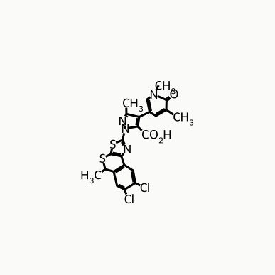 Cc1nn(-c2nc3c(s2)SC(C)c2cc(Cl)c(Cl)cc2-3)c(C(=O)O)c1-c1cc(C)c(=O)n(C)c1